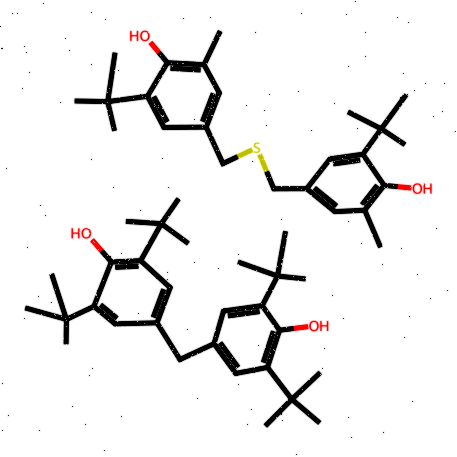 CC(C)(C)c1cc(Cc2cc(C(C)(C)C)c(O)c(C(C)(C)C)c2)cc(C(C)(C)C)c1O.Cc1cc(CSCc2cc(C)c(O)c(C(C)(C)C)c2)cc(C(C)(C)C)c1O